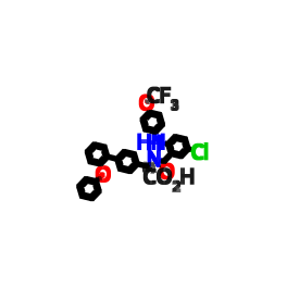 O=C(N[C@H](C(=O)O)c1ccc(-c2ccccc2Oc2ccccc2)cc1)c1cc(Cl)ccc1Nc1ccc(OC(F)(F)F)cc1